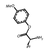 COc1ccc(OC(=O)[C@@H](N)C(C)C)cc1